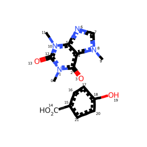 Cn1c(=O)c2c(ncn2C)n(C)c1=O.O=C(O)c1ccc(O)cc1